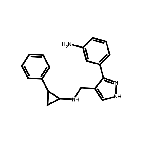 Nc1cccc(-c2n[nH]cc2CNC2CC2c2ccccc2)c1